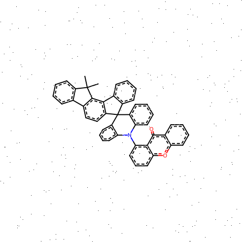 CC1(C)c2ccccc2-c2ccc3c(c21)-c1ccccc1C31c2ccccc2N(c2cccc3oc4ccccc4c(=O)c23)c2ccccc21